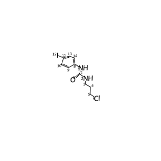 O=C(NCCCCl)Nc1ccc(I)cc1